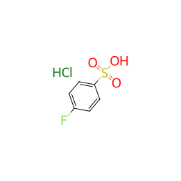 Cl.O=S(=O)(O)c1ccc(F)cc1